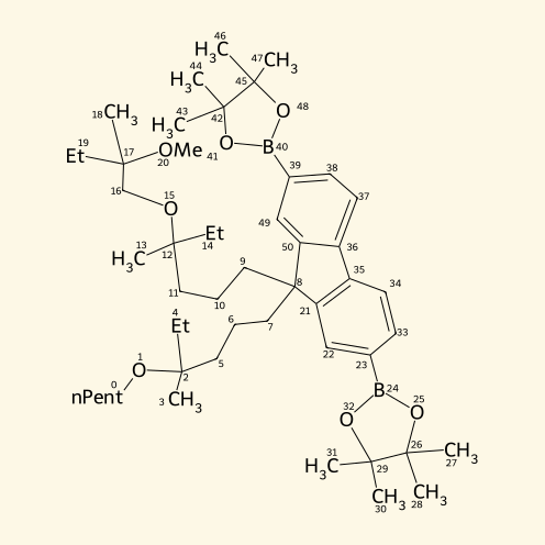 CCCCCOC(C)(CC)CCCC1(CCCC(C)(CC)OCC(C)(CC)OC)c2cc(B3OC(C)(C)C(C)(C)O3)ccc2-c2ccc(B3OC(C)(C)C(C)(C)O3)cc21